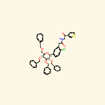 O=C(Cc1cc([C@@H]2O[C@H](COCc3ccccc3)[C@@H](OCc3ccccc3)[C@H](OCc3ccccc3)[C@H]2OCc2ccccc2)ccc1Cl)NCC(=O)c1ccsc1